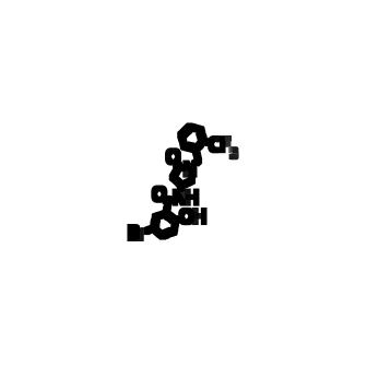 O=C(NC1CC(=O)N(Cc2ccccc2C(F)(F)F)C1)c1cc(Br)ccc1O